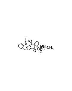 CCOP(=O)(O)Oc1cccc2c1C(=O)c1cn3c(c1C2=O)C(C)c1ccccc1C3